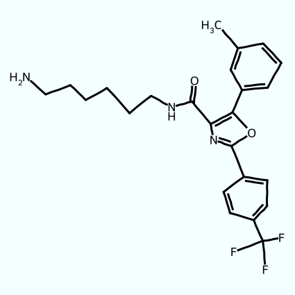 Cc1cccc(-c2oc(-c3ccc(C(F)(F)F)cc3)nc2C(=O)NCCCCCCN)c1